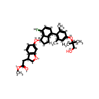 COC(=O)CC1COc2cc(O[C@@H]3CCc4c(-c5c(C)cc(OC(C)(C)CO)cc5C)ccc(F)c43)ccc21